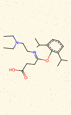 CCN(CC)CCN=C(CCC(=O)O)Oc1c(C(C)C)cccc1C(C)C